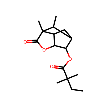 CCC(C)(C)C(=O)OC1C2CC3C1OC(=O)C3(C)C2C